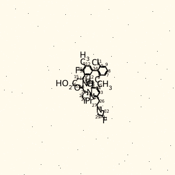 Cc1cc(-c2c(C)cccc2Cl)cc([C@H](CC(=O)O)NC(=O)[C@H](CC(C)C)n2nc(CCN3CC(F)C3)cc(C)c2=O)c1F